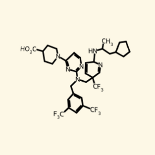 CC(CC1CCCC1)NC1C=CC(CN(Cc2cc(C(F)(F)F)cc(C(F)(F)F)c2)c2nccc(N3CCC(C(=O)O)CC3)n2)(C(F)(F)F)C=N1